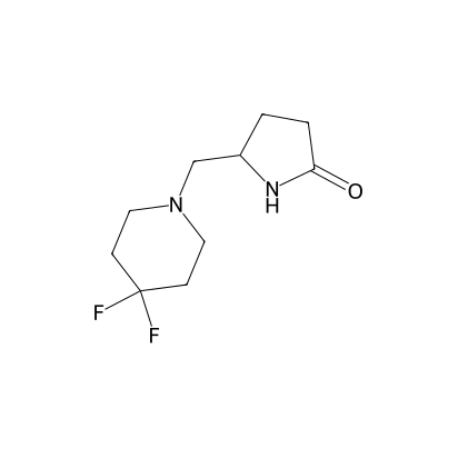 O=C1CCC(CN2CCC(F)(F)CC2)N1